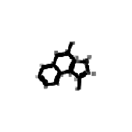 Cc1cc2ccccc2c2c(C)noc12